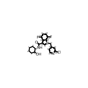 O=C(N[C@H]1CCCCC1O)c1cn(Cc2ccnc(Cl)c2)c2c(F)ccc(F)c12